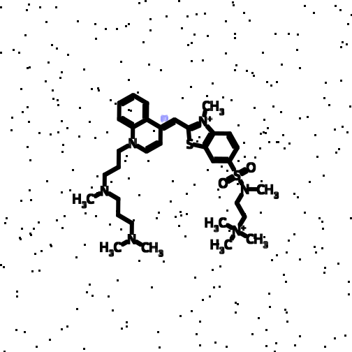 CN(C)CCCN(C)CCCN1C=C/C(=C\c2sc3cc(S(=O)(=O)N(C)CC[N+](C)(C)C)ccc3[n+]2C)c2ccccc21